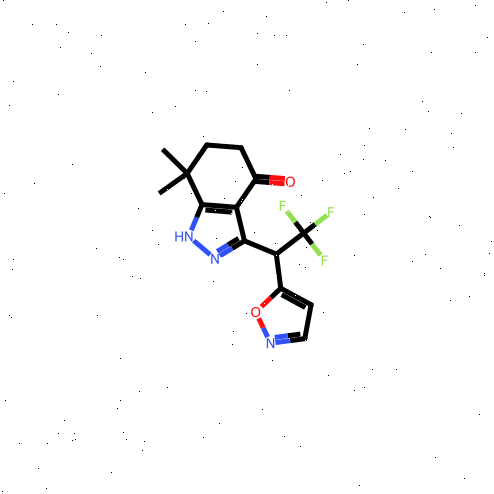 CC1(C)CCC(=O)c2c(C(c3ccno3)C(F)(F)F)n[nH]c21